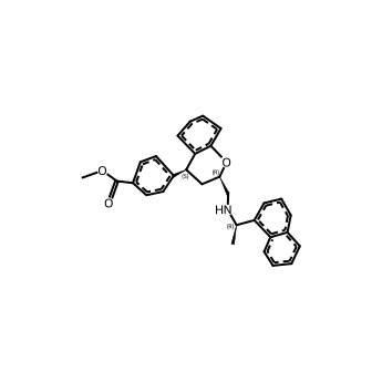 COC(=O)c1ccc([C@@H]2C[C@H](CN[C@H](C)c3cccc4ccccc34)Oc3ccccc32)cc1